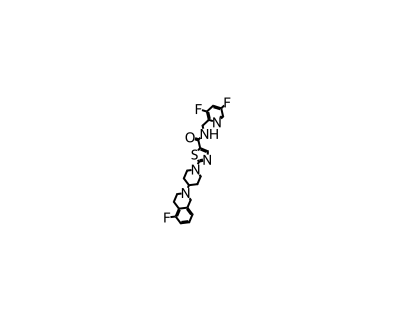 O=C(NCc1ncc(F)cc1F)c1cnc(N2CCC(N3CCc4c(F)cccc4C3)CC2)s1